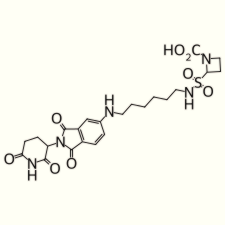 O=C1CCC(N2C(=O)c3ccc(NCCCCCCNS(=O)(=O)C4CCN4C(=O)O)cc3C2=O)C(=O)N1